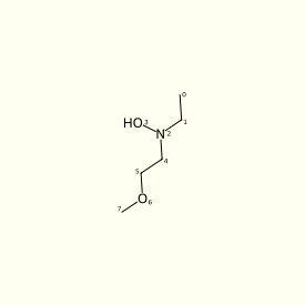 CCN(O)CCOC